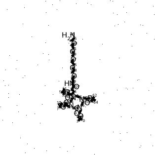 CC(C)(C)OC(=O)CN1CCN(CC(=O)OC(C)(C)C)CCN(C(CCC(=O)NCCOCCOCCOCCOCCOCCN)C(=O)OC(C)(C)C)CCN(CC(=O)OC(C)(C)C)CC1